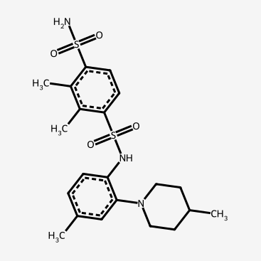 Cc1ccc(NS(=O)(=O)c2ccc(S(N)(=O)=O)c(C)c2C)c(N2CCC(C)CC2)c1